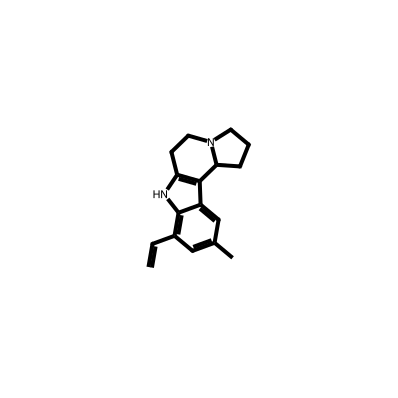 C=Cc1cc(C)cc2c3c([nH]c12)CCN1CCCC31